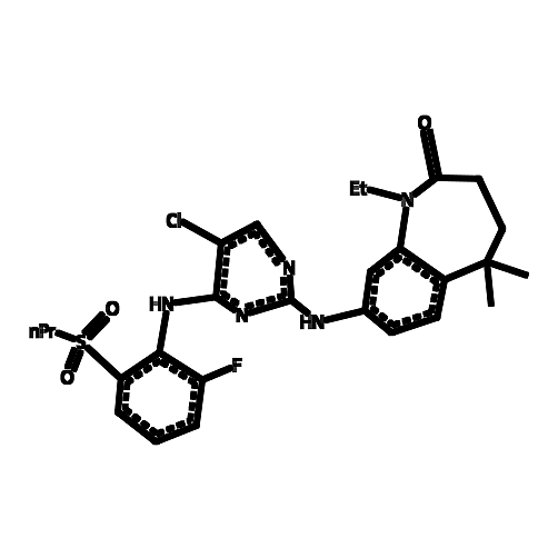 CCCS(=O)(=O)c1cccc(F)c1Nc1nc(Nc2ccc3c(c2)N(CC)C(=O)CCC3(C)C)ncc1Cl